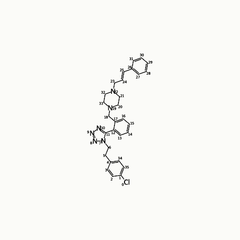 Clc1ccc(CCn2nnnc2-c2ccccc2CN2CCN(CC=Cc3ccccc3)CC2)cc1